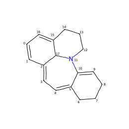 C1=CC2=CC=C3CCCC=C3N3CCCC(=C1)C23